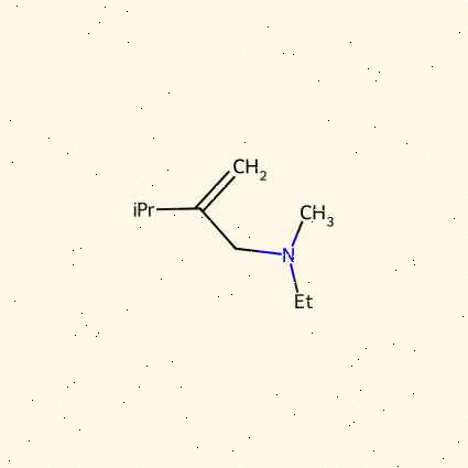 C=C(CN(C)CC)C(C)C